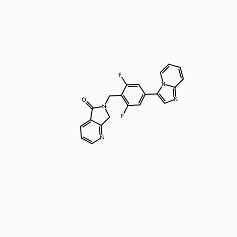 O=C1c2cccnc2CN1Cc1c(F)cc(-c2cnc3ccccn23)cc1F